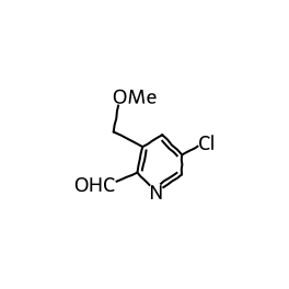 COCc1cc(Cl)cnc1C=O